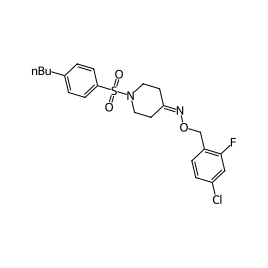 CCCCc1ccc(S(=O)(=O)N2CCC(=NOCc3ccc(Cl)cc3F)CC2)cc1